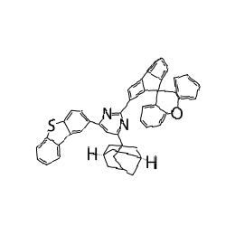 c1ccc2c(c1)Oc1ccccc1C21c2ccccc2-c2ccc(-c3nc(-c4ccc5sc6ccccc6c5c4)cc(C45CC6C[C@H](C4)C[C@@H](C6)C5)n3)cc21